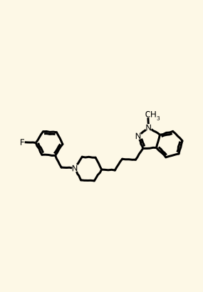 Cn1nc(CCCC2CCN(Cc3cccc(F)c3)CC2)c2ccccc21